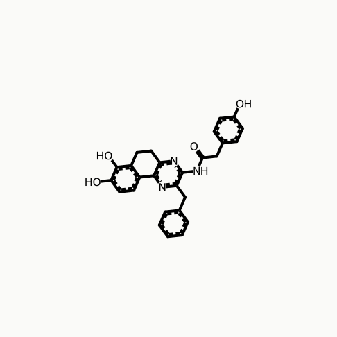 O=C(Cc1ccc(O)cc1)Nc1nc2c(nc1Cc1ccccc1)-c1ccc(O)c(O)c1CC2